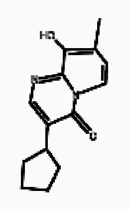 Cc1ccn2c(=O)c(C3CCCC3)cnc2c1O